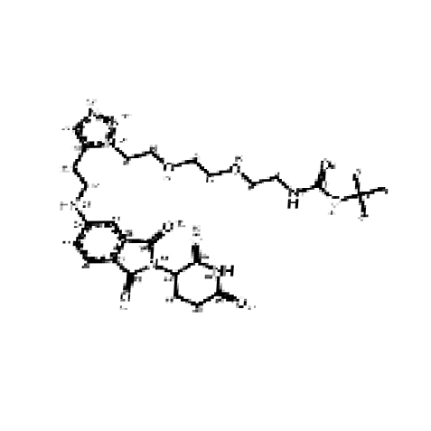 CC(C)(C)OC(=O)NCCOCCOCCn1nncc1CCNc1ccc2c(c1)C(=O)N(C1CCC(=O)NC1=O)C2=O